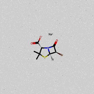 CC1(C)S[C@@H]2[C@H](Br)C(=O)N2[C@H]1C(=O)[O-].[Na+]